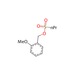 CCCS(=O)(=O)OCc1ccccc1OC